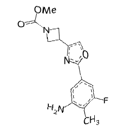 COC(=O)N1CC(c2coc(-c3cc(N)c(C)c(F)c3)n2)C1